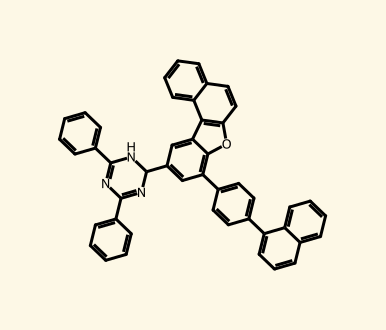 c1ccc(C2=NC(c3cc(-c4ccc(-c5cccc6ccccc56)cc4)c4oc5ccc6ccccc6c5c4c3)NC(c3ccccc3)=N2)cc1